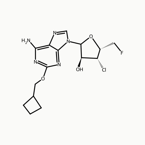 Nc1nc(OCC2CCC2)nc2c1ncn2C1O[C@H](CF)[C@H](Cl)[C@H]1O